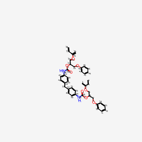 C=CC(=C)OCC(COc1ccccc1)OC(=O)Nc1ccc(Cc2ccc(NC(=O)OC(COC(=C)C=C)COc3ccccc3)cc2)cc1